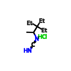 CCC(CC)(CC)C(C)N=C=N.Cl